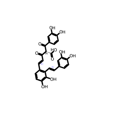 O=C(O)[C@H](C(=O)/C=C/c1ccc(O)c(O)c1/C=C/c1ccc(O)c(O)c1)C(=O)c1ccc(O)c(O)c1